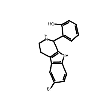 Oc1ccccc1C1NCCc2c1[nH]c1ccc(Br)cc21